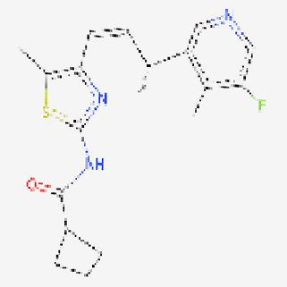 Cc1sc(NC(=O)C2CCC2)nc1/C=C\[C@@H](C)c1cncc(F)c1C